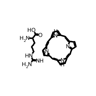 C1=Cc2cc3ccc(cc4nc(cc5ccc(cc1n2)[nH]5)C=C4)[nH]3.N=C(N)NCCCC(N)C(=O)O